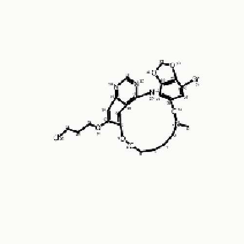 CN1CCCCCOc2cc3c(ncnc3cc2OCCCCl)Nc2c(cc(Br)c3c2OCO3)C1